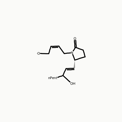 CCCCCC(O)/C=C/[C@H]1CCC(=O)N1C/C=C\C[O]